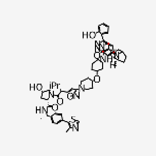 Cc1ncsc1-c1ccc([C@H](C)NC(=O)[C@@H]2C[C@@H](O)CN2C(=O)[C@H](c2cc(N3CCC(OC4CCC(Oc5cc(N6C7CC[C@H]6CN(c6cc(-c8ccccc8O)nnc6N)C7)ccn5)CC4)CC3)no2)C(C)C)cc1